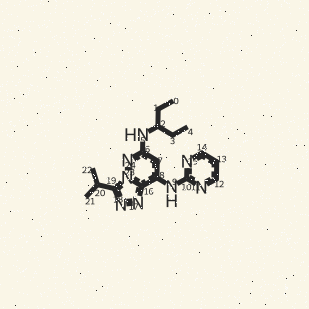 CCC(CC)Nc1cc(Nc2ncccn2)c2nnc(C(C)C)n2n1